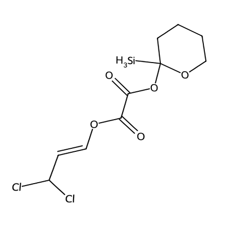 O=C(OC=CC(Cl)Cl)C(=O)OC1([SiH3])CCCCO1